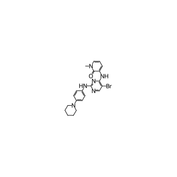 Cn1cccc(Nc2nc(Nc3ccc(N4CCCCC4)cc3)ncc2Br)c1=O